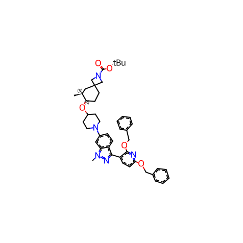 C[C@H]1CC2(CC[C@H]1OC1CCN(c3ccc4c(-c5ccc(OCc6ccccc6)nc5OCc5ccccc5)nn(C)c4c3)CC1)CN(C(=O)OC(C)(C)C)C2